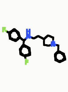 Fc1ccc(C(NCCC2CCN(Cc3ccccc3)CC2)c2ccc(F)cc2)cc1